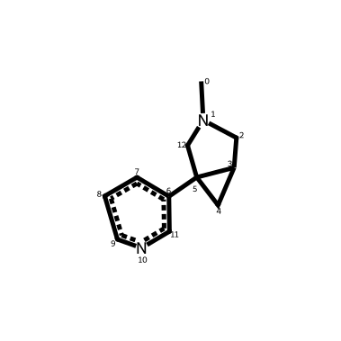 CN1CC2CC2(c2cccnc2)C1